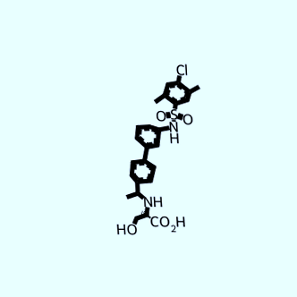 Cc1cc(S(=O)(=O)Nc2cccc(-c3ccc(C(C)N[C@@H](CO)C(=O)O)cc3)c2)c(C)cc1Cl